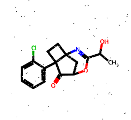 CC(O)C1=NC23CCC2(c2ccccc2Cl)C(=O)C(C3)O1